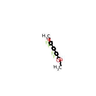 C=CCCC1OCC(c2ccc(-c3ccc(-c4ccc(OCC)c(F)c4F)cc3)c(F)c2F)CO1